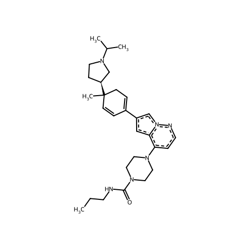 CCCNC(=O)N1CCN(c2ccnn3cc(C4=CCC(C)([C@H]5CCN(C(C)C)C5)C=C4)cc23)CC1